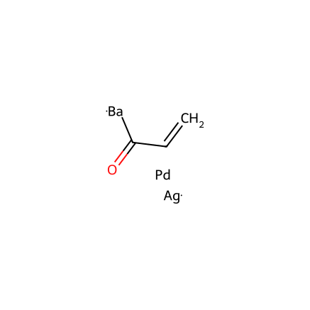 C=C[C](=O)[Ba].[Ag].[Pd]